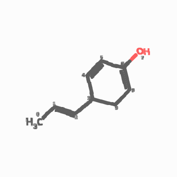 C/C=C/C1C=CC(O)=CC1